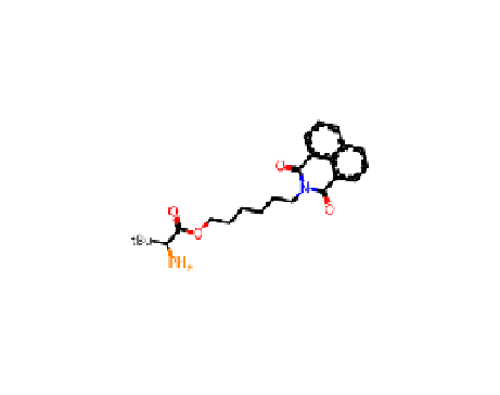 CC(C)(C)C(P)C(=O)OCCCCCCN1C(=O)c2cccc3cccc(c23)C1=O